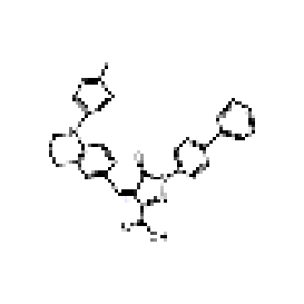 Cc1ccc(N2CCCc3cc(/C=C4\C(=O)N(c5ccc(-c6ccccc6)cc5)N=C4C(=O)O)ccc32)cc1